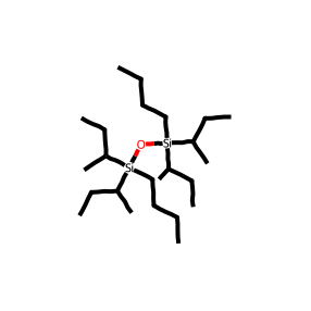 CCCC[Si](O[Si](CCCC)(C(C)CC)C(C)CC)(C(C)CC)C(C)CC